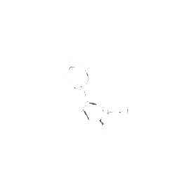 CC1CCN(c2ccc(=O)n(C3CC3)c2)CC1